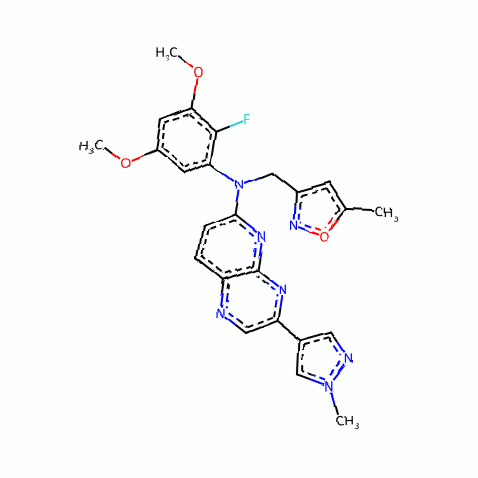 COc1cc(OC)c(F)c(N(Cc2cc(C)on2)c2ccc3ncc(-c4cnn(C)c4)nc3n2)c1